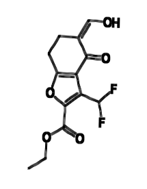 CCOC(=O)c1oc2c(c1C(F)F)C(=O)/C(=C\O)CC2